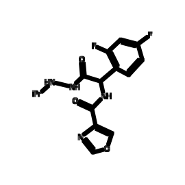 CC(C)NNC(=O)C(NC(=O)c1cocn1)c1ccc(F)cc1F